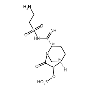 N=C(NS(=O)(=O)CCN)[C@@H]1CC[C@@H]2CN1C(=O)N2OS(=O)(=O)O